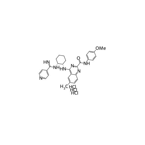 COc1ccc(NC(=O)c2nc(N[C@H]3CCCC[C@H]3NC(=N)c3ccncc3)c3cc(C)ccc3n2)cc1.Cl.Cl.Cl